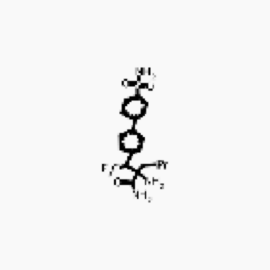 CC(C)CC(N)(C(N)=O)C(c1ccc(-c2ccc(S(N)(=O)=O)cc2)cc1)C(F)(F)F